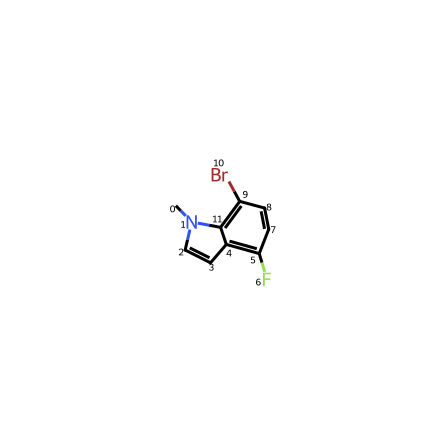 Cn1ccc2c(F)ccc(Br)c21